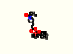 CC(=O)N1CCC(/C=C/C(=O)OC(=O)OC(C)(C)C)CC1